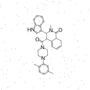 Cc1ccc(C)c(N2CCN(C(=O)C3C4=CC=CCC4C(=O)N(C)C3c3c[nH]c4ccccc34)CC2)c1